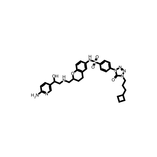 Nc1ccc(C(O)CNCC2CCc3cc(NS(=O)(=O)c4ccc(-n5nnn(CCCC6CCC6)c5=O)cc4)ccc3O2)cn1